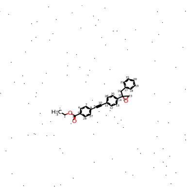 CCOC(=O)c1ccc(C#Cc2ccc(C3(Cc4ccccc4)CO3)cc2)cc1